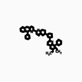 C=Cc1cc2ccc(-c3cccc(-c4ccc5nc(-c6ccc7cc8ccccc8c(-c8ccccc8)c7n6)ccc5c4)c3)nc2c(-c2ccccc2)c1C=C